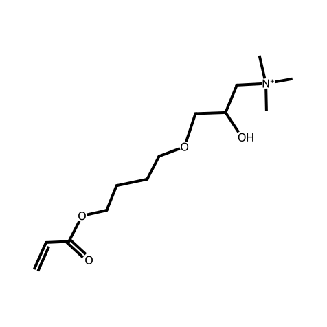 C=CC(=O)OCCCCOCC(O)C[N+](C)(C)C